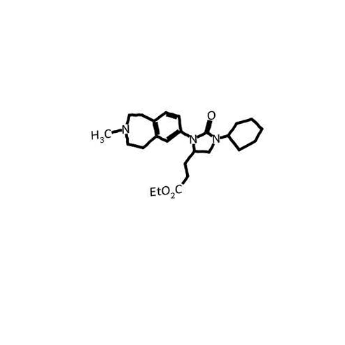 CCOC(=O)CCC1CN(C2CCCCC2)C(=O)N1c1ccc2c(c1)CCN(C)CC2